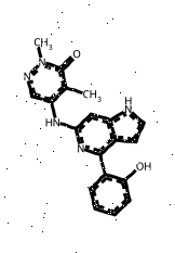 Cc1c(Nc2cc3[nH]ccc3c(-c3ccccc3O)n2)cnn(C)c1=O